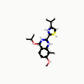 COc1ccc2c(OC(C)C)nc(-c3nc(C(C)C)cs3)nc2c1C